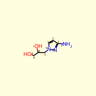 Nc1ccn(CC(O)CO)n1